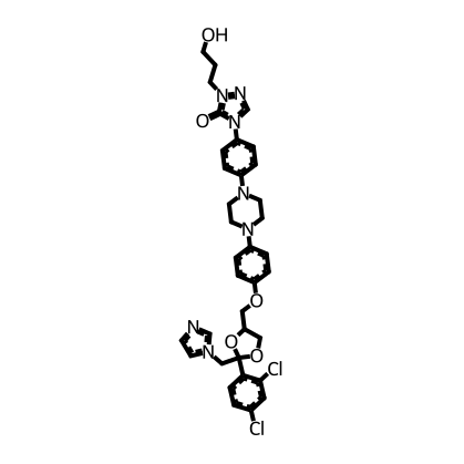 O=c1n(-c2ccc(N3CCN(c4ccc(OCC5COC(Cn6ccnc6)(c6ccc(Cl)cc6Cl)O5)cc4)CC3)cc2)cnn1CCCO